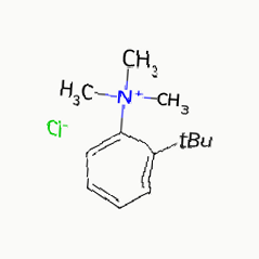 CC(C)(C)c1ccccc1[N+](C)(C)C.[Cl-]